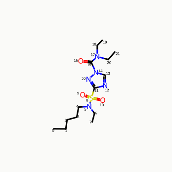 CCCCCN(CC)S(=O)(=O)c1ncn(C(=O)N(CC)CC)n1